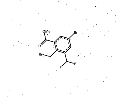 COC(=O)c1cc(Br)cc(C(F)F)c1CBr